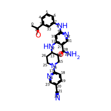 CC(=O)c1cccc(Nc2cc(NC3CCN(c4ccc(C#N)cn4)CC3)c(C(N)=O)cn2)c1